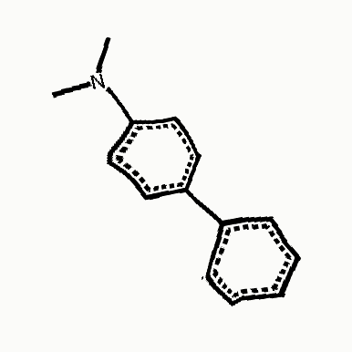 CN(C)c1ccc(-c2[c]cccc2)cc1